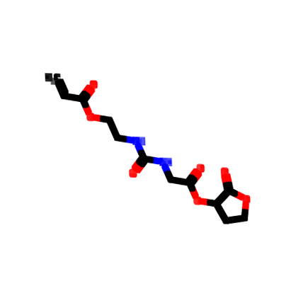 C=CC(=O)OCCNC(=O)NCC(=O)OC1CCOC1=O